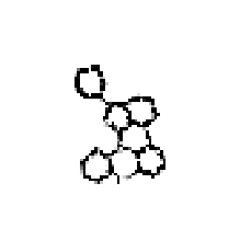 c1ccc(-c2sc3c4c(cccc24)-c2cccc4c2B3c2ccccc2O4)cc1